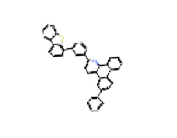 c1ccc(-c2ccc3c4ccccc4c4nc(-c5cccc(-c6cccc7c6sc6ccccc67)c5)ccc4c3c2)cc1